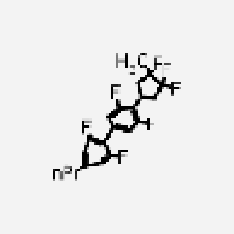 CCCc1cc(F)c(-c2cc(F)c(C3CC(C)(F)C(F)(F)C3)c(F)c2)c(F)c1